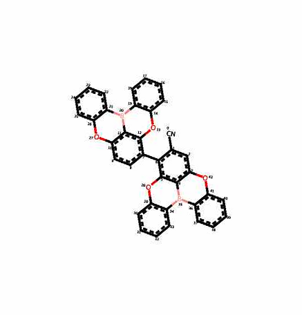 N#Cc1cc2c3c(c1-c1ccc4c5c1Oc1ccccc1B5c1ccccc1O4)Oc1ccccc1B3c1ccccc1O2